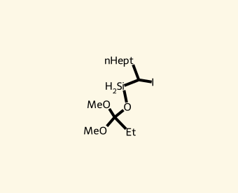 CCCCCCCC(I)[SiH2]OC(CC)(OC)OC